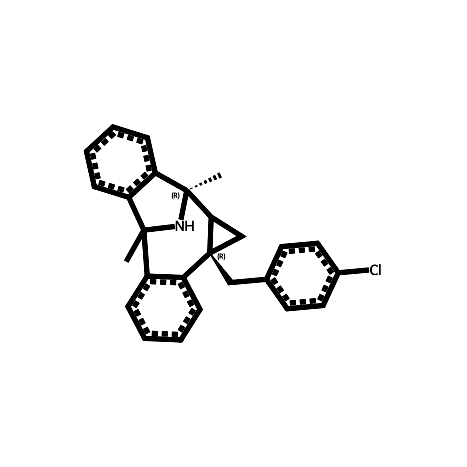 CC12N[C@@](C)(c3ccccc31)C1C[C@]1(Cc1ccc(Cl)cc1)c1ccccc12